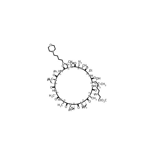 CCOC(=O)CCCC[C@@H](C)[C@@H](O)[C@H]1C(=O)N[C@@H](CC)C(=O)N(C)[C@H](C)C(=O)N(C)[C@@H]([C@@H](C)OCCCCN2CCOCC2)C(=O)N[C@@H](C(C)C)C(=O)N(C)[C@@H](CC(C)C)C(=O)N[C@@H](C)C(=O)N[C@H](C)C(=O)N(C)[C@@H](CC(C)C)C(=O)N(C)[C@@H](CC(C)C)C(=O)N(C)[C@@H](C(C)C)C(=O)N1C